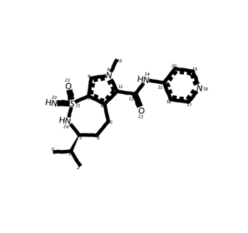 CC(C)[C@@H]1CCc2c(cn(C)c2C(=O)Nc2ccncc2)S(=N)(=O)N1